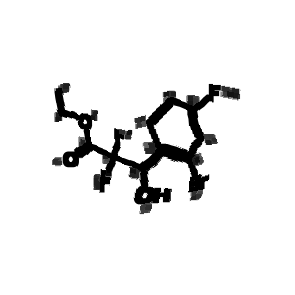 CCOC(=O)C(F)(F)C(O)c1ccc(F)cc1Br